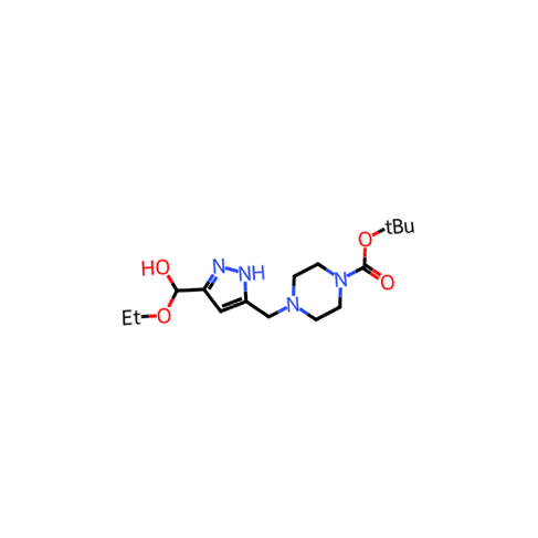 CCOC(O)c1cc(CN2CCN(C(=O)OC(C)(C)C)CC2)[nH]n1